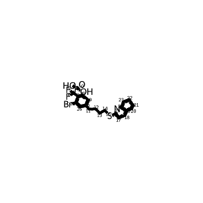 O=P(O)(O)C(F)(F)c1ccc(CCCCSc2ccc3ccccc3n2)cc1Br